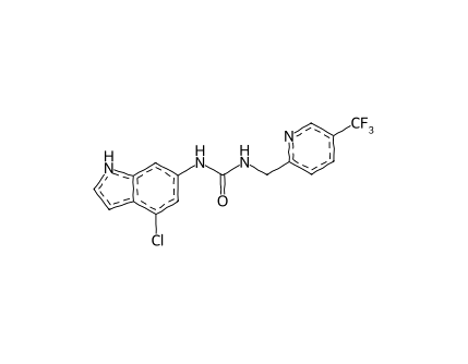 O=C(NCc1ccc(C(F)(F)F)cn1)Nc1cc(Cl)c2cc[nH]c2c1